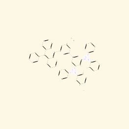 CC(C)(C)c1ccc2c(c1)N(c1ccccc1)c1cc(-c3cc(C#N)cc(-c4c5ccccc5c(-c5ccccc5)c5ccccc45)c3)cc3c1B2c1ccccc1N3c1ccccc1